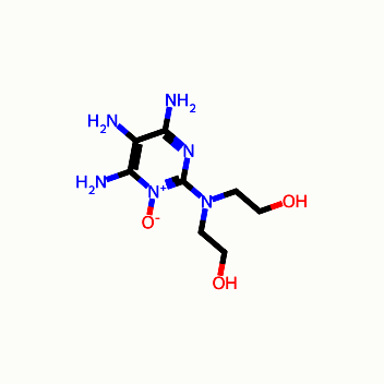 Nc1nc(N(CCO)CCO)[n+]([O-])c(N)c1N